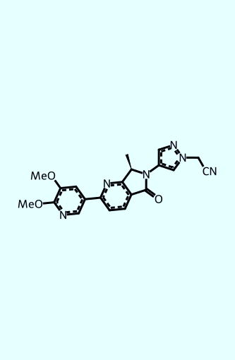 COc1cc(-c2ccc3c(n2)[C@@H](C)N(c2cnn(CC#N)c2)C3=O)cnc1OC